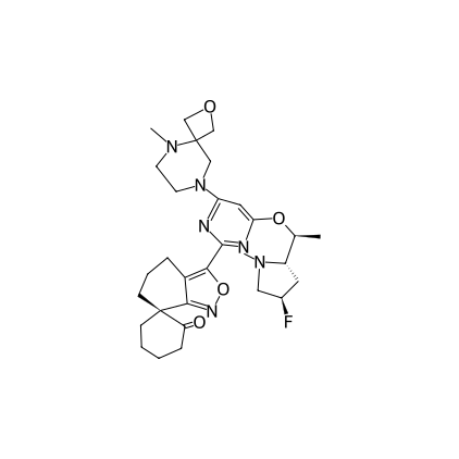 C[C@H](Oc1cc(N2CCN(C)C3(COC3)C2)nc(-c2onc3c2CCC[C@@]32CCCCC2=O)n1)[C@@H]1C[C@@H](F)CN1C